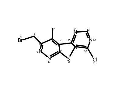 Cc1c(CBr)nnc2sc3c(Cl)ncnc3c12